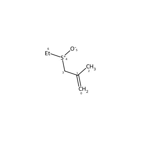 C=C(C)C[S+]([O-])CC